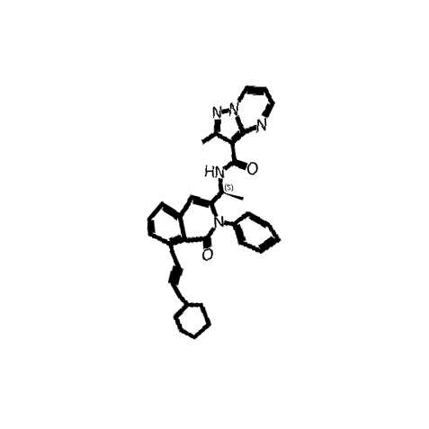 Cc1nn2cccnc2c1C(=O)N[C@@H](C)c1cc2cccc(C#CC3CCCCC3)c2c(=O)n1-c1ccccc1